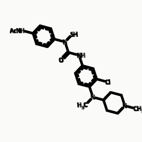 CC(=O)Nc1ccc(N(S)C(=O)Nc2ccc(N(C)C3CCN(C)CC3)c(Cl)c2)cc1